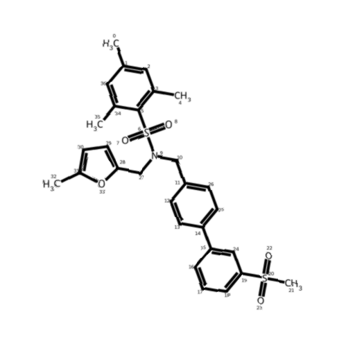 Cc1cc(C)c(S(=O)(=O)N(Cc2ccc(-c3cccc(S(C)(=O)=O)c3)cc2)Cc2ccc(C)o2)c(C)c1